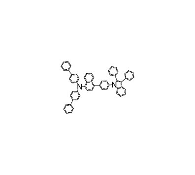 c1ccc(-c2ccc(N(c3ccc(-c4ccccc4)cc3)c3ccc(-c4ccc(-n5c(-c6ccccc6)c(-c6ccccc6)c6ccccc65)cc4)c4ccccc34)cc2)cc1